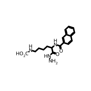 NNC(=O)C(CCCCNC(=O)O)NC(=O)c1ccc2ccccc2c1